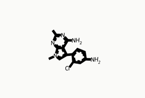 Cc1nc(N)c2c(-c3ccc(N)cc3Cl)cn(C)c2n1